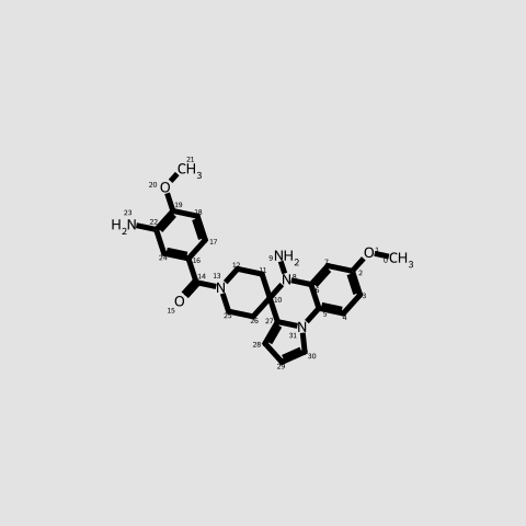 COc1ccc2c(c1)N(N)C1(CCN(C(=O)c3ccc(OC)c(N)c3)CC1)c1cccn1-2